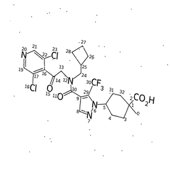 CC1(C(=O)O)CCC(n2ncc(C(=O)N(CC(=O)c3c(Cl)cncc3Cl)CC3CCC3)c2C(F)(F)F)CC1